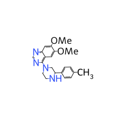 COc1cc2ncnc(N3CCNC(c4ccc(C)cc4)C3)c2cc1OC